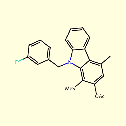 CSc1c(OC(C)=O)cc(C)c2c3ccccc3n(Cc3cccc(F)c3)c12